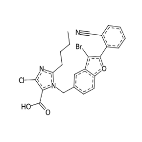 CCCCc1nc(Cl)c(C(=O)O)n1Cc1ccc2oc(-c3ccccc3C#N)c(Br)c2c1